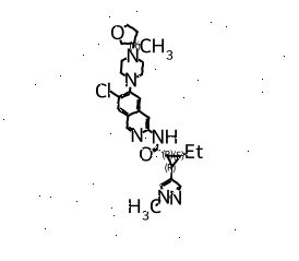 CC[C@@H]1[C@@H](C(=O)Nc2cc3cc(N4CCN([C@]5(C)CCOC5)CC4)c(Cl)cc3cn2)[C@@H]1c1cnn(C)c1